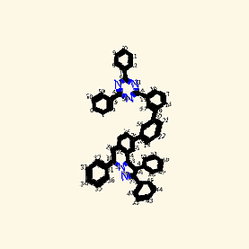 c1ccc(-c2nc(-c3ccccc3)nc(-c3cccc(-c4cccc(-c5ccc6cc(-c7ccccc7)n7nc(-c8ccccc8)c(-c8ccccc8)c7c6c5)c4)c3)n2)cc1